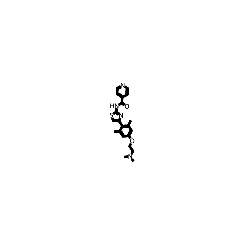 Cc1cc(OCCN(C)C)cc(C)c1-c1csc(NC(=O)c2ccncc2)n1